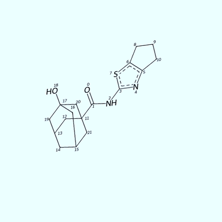 O=C(Nc1nc2c(s1)CCC2)C12CC3CC(CC(O)(C3)C1)C2